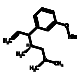 C=CC(c1cccc(OCCCC)c1)[C@@H](C)CN(C)C